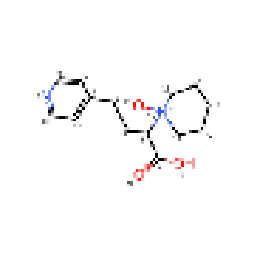 O=C(O)C(CCc1ccncc1)[N+]1([O-])CCCCC1